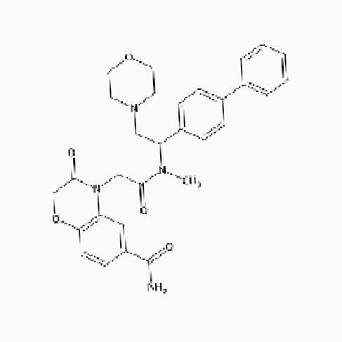 CN(C(=O)CN1C(=O)COc2ccc(C(N)=O)cc21)C(CN1CCOCC1)c1ccc(-c2ccccc2)cc1